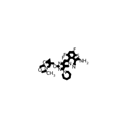 C[C@@H]1COC[C@H](C)N1CC1(COc2nc(N3CCCCCC3)c3cnc(C4=C(F)C=C(F)C5SC(N)=C(C#N)C45)c(F)c3n2)CC1